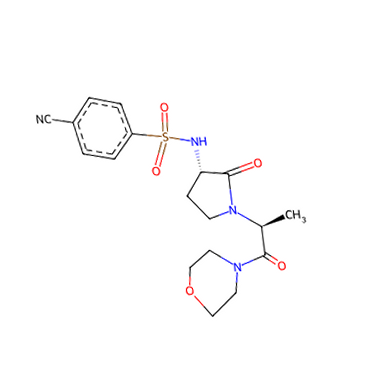 C[C@@H](C(=O)N1CCOCC1)N1CC[C@H](NS(=O)(=O)c2ccc(C#N)cc2)C1=O